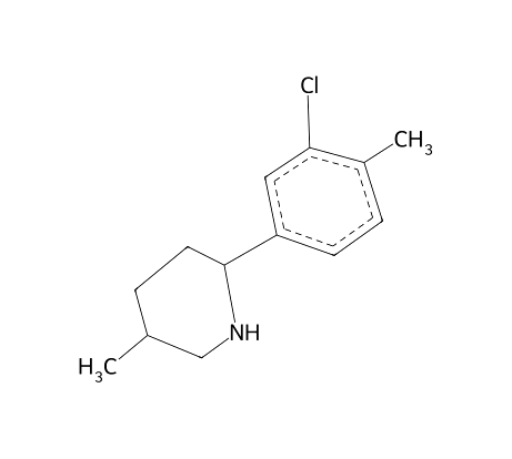 Cc1ccc(C2CCC(C)CN2)cc1Cl